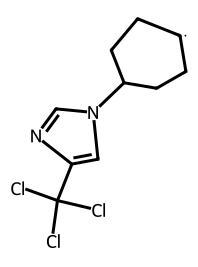 ClC(Cl)(Cl)c1cn(C2CC[CH]CC2)cn1